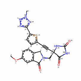 COc1ccc2c(c1)C(=O)N(C[C@@]1(C#Cc3ccc(-c4nnn(C)n4)s3)NC(=O)NC1=O)C2